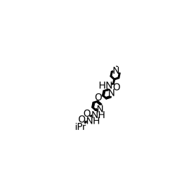 CC(C)C(=O)NC(=O)Nc1ccc(Oc2ccnc(NC(=O)C3CCN(C)CC3)c2)cn1